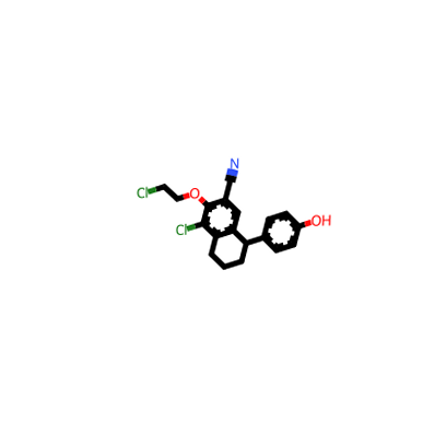 N#Cc1cc2c(c(Cl)c1OCCCl)CCCC2c1ccc(O)cc1